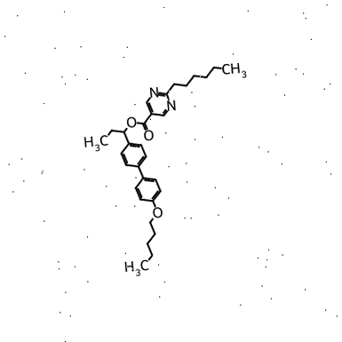 CCCCCCc1ncc(C(=O)OC(CC)c2ccc(-c3ccc(OCCCCC)cc3)cc2)cn1